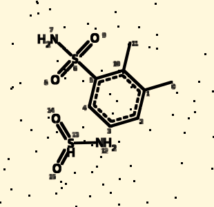 Cc1cccc(S(N)(=O)=O)c1C.N[SH](=O)=O